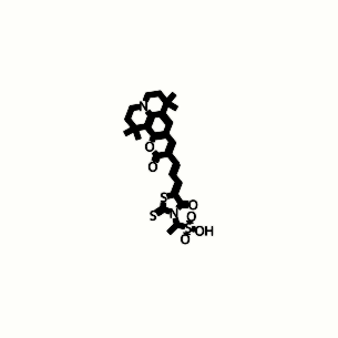 CC(N1C(=O)C(=CC=Cc2cc3cc4c5c(c3oc2=O)C(C)(C)CCN5CCC4(C)C)SC1=S)S(=O)(=O)O